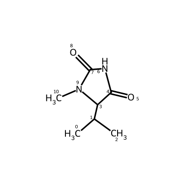 CC(C)C1C(=O)NC(=O)N1C